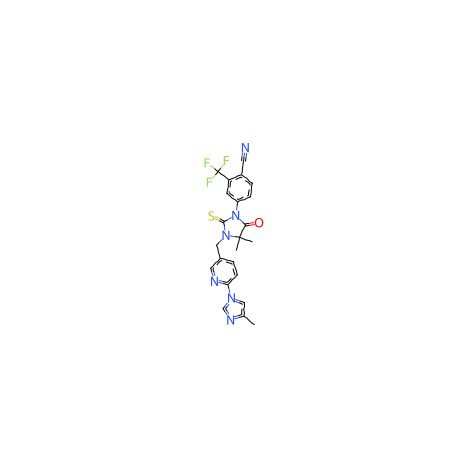 Cc1cn(-c2ccc(CN3C(=S)N(c4ccc(C#N)c(C(F)(F)F)c4)C(=O)C3(C)C)cn2)cn1